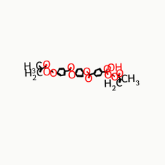 C=C(C)C(=O)OCOc1ccc(C(=O)Oc2ccc(OC(=O)c3ccc(C(OO)OCOC(=O)C(=C)C)cc3)cc2)cc1